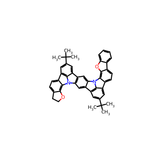 CC(C)(C)c1cc2c3cc4c(cc3n3c5c6c(ccc5c(c1)c23)CCO6)c1cc(C(C)(C)C)cc2c3ccc5c6ccccc6oc5c3n4c12